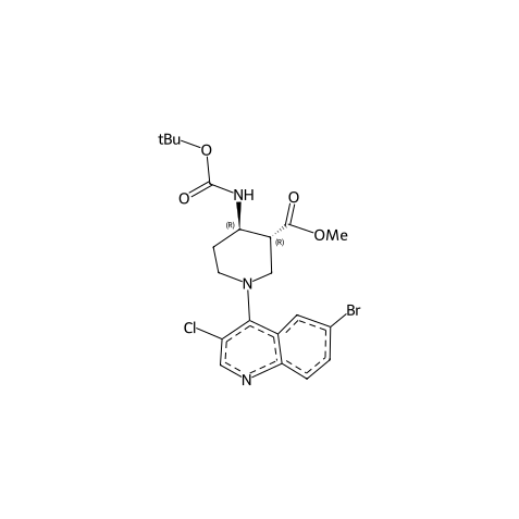 COC(=O)[C@@H]1CN(c2c(Cl)cnc3ccc(Br)cc23)CC[C@H]1NC(=O)OC(C)(C)C